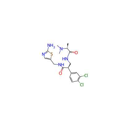 C[C@@H](C(=O)NC[C@H](C(=O)NCc1cnc(N)s1)c1ccc(Cl)c(Cl)c1)N(C)C